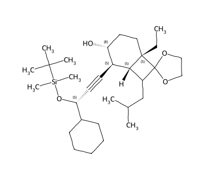 CC[C@]12CC[C@@H](O)[C@H](C#C[C@@H](O[Si](C)(C)C(C)(C)C)C3CCCCC3)[C@H]1C(CC(C)C)C21OCCO1